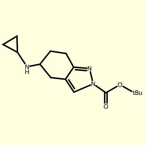 CC(C)(C)OC(=O)n1cc2c(n1)CCC(NC1CC1)C2